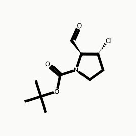 CC(C)(C)OC(=O)N1CC[C@@H](Cl)[C@@H]1C=O